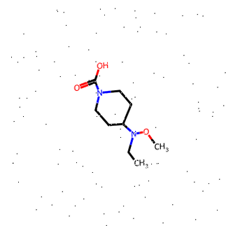 CCN(OC)C1CCN(C(=O)O)CC1